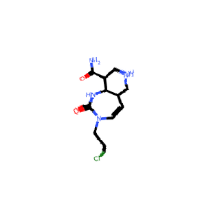 NC(=O)C1CNCC2C=CN(CCCl)C(=O)NC21